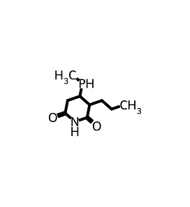 CCCC1C(=O)NC(=O)CC1PC